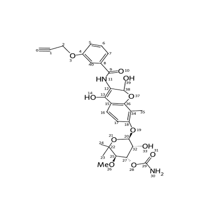 C#CCOc1cccc(C(=O)NC2=C(O)c3ccc(O[C@@H]4OC(C)(C)[C@H](OC)[C@@H](OC(N)=O)[C@H]4O)c(C)c3OC2O)c1